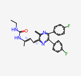 C=c1nc(-c2ccc(F)cc2)c(-c2ccc(F)cc2)n/c1=C/C=C(\C)NC(=O)NCC